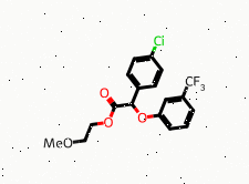 COCCOC(=O)C(Oc1cccc(C(F)(F)F)c1)c1ccc(Cl)cc1